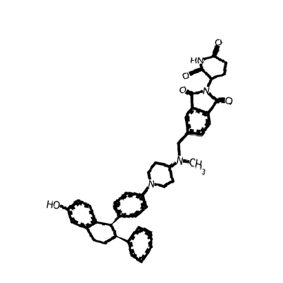 CN(Cc1ccc2c(c1)C(=O)N(C1CCC(=O)NC1=O)C2=O)C1CCN(c2ccc([C@@H]3c4ccc(O)cc4CC[C@@H]3c3ccccc3)cc2)CC1